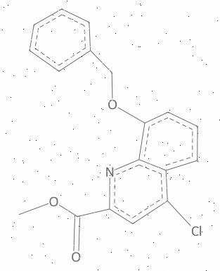 COC(=O)c1cc(Cl)c2cccc(OCc3ccccc3)c2n1